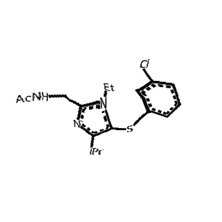 CCn1c(CNC(C)=O)nc(C(C)C)c1Sc1cccc(Cl)c1